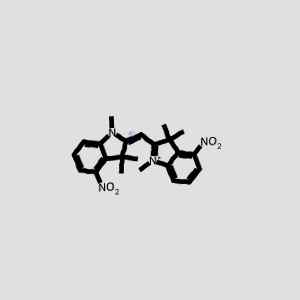 CN1/C(=C/C2=[N+](C)c3cccc([N+](=O)[O-])c3C2(C)C)C(C)(C)c2c1cccc2[N+](=O)[O-]